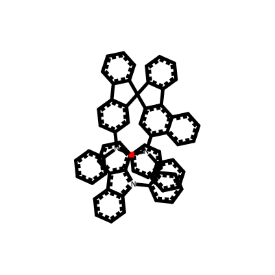 c1ccc(N(c2ccccc2)c2ccc3c(c2)C2(c4ccccc4-3)c3ccccc3-c3c2cc(N(c2ccccc2)c2cccc4c5ccccc5n(-c5ccccc5)c24)c2ccccc32)cc1